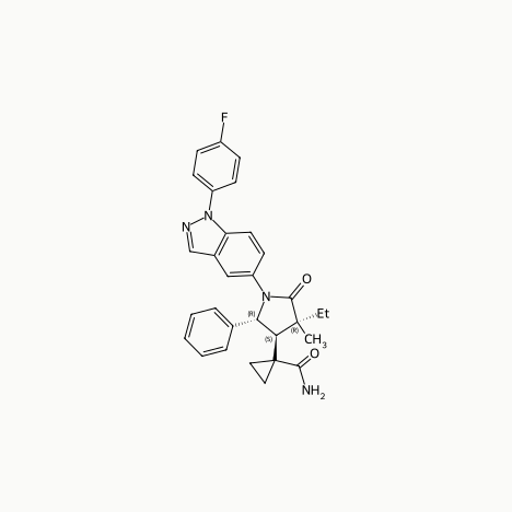 CC[C@@]1(C)C(=O)N(c2ccc3c(cnn3-c3ccc(F)cc3)c2)[C@@H](c2ccccc2)[C@@H]1C1(C(N)=O)CC1